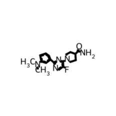 CN(C)c1cccc(-c2ncc(F)c(N3CCC(C(N)=O)CC3)n2)c1